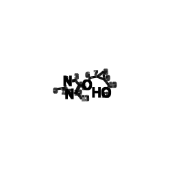 Cc1ncc(OCC2CC2CO)c(C)n1